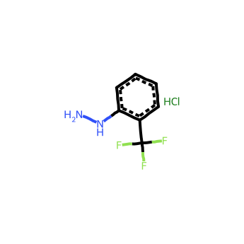 Cl.NNc1ccccc1C(F)(F)F